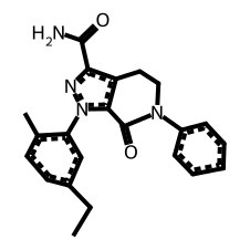 CCc1ccc(C)c(-n2nc(C(N)=O)c3c2C(=O)N(c2ccccc2)CC3)c1